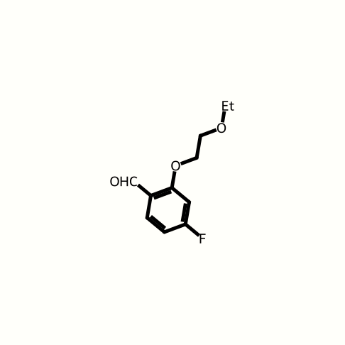 CCOCCOc1cc(F)ccc1C=O